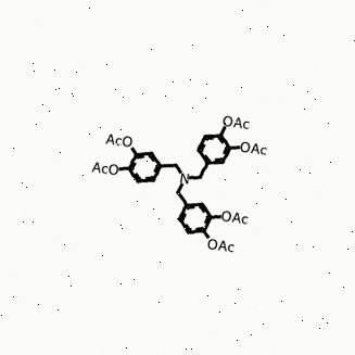 CC(=O)Oc1ccc(CN(Cc2ccc(OC(C)=O)c(OC(C)=O)c2)Cc2ccc(OC(C)=O)c(OC(C)=O)c2)cc1OC(C)=O